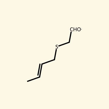 CC=CCSC[C]=O